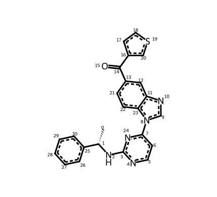 C[C@H](Nc1nccc(-n2cnc3cc(C(=O)c4ccsc4)ccc32)n1)c1ccccc1